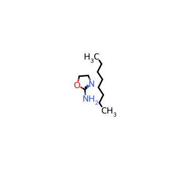 CCCCCCCC.NC1=NCCO1